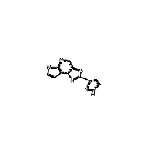 C1=Cc2c3c(cnc2=N1)=NC(c1cc[nH]n1)=N3